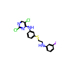 Clc1ncc(Cl)c(Nc2cccc(SCCNc3cccc(I)c3)c2)n1